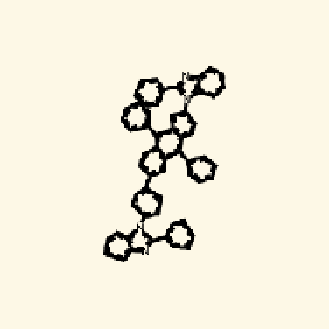 c1ccc(-c2c3ccc(-n4c(-c5ccccc5)nc5ccccc54)cc3c(-c3ccccc3)c3ccc(-c4ccc(-n5c(-c6ccccc6)nc6ccccc65)cc4)cc23)cc1